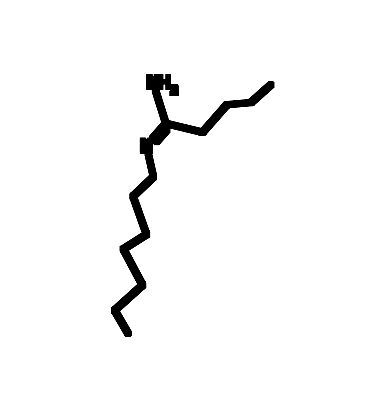 CCCCCCC/N=C(/N)CCCC